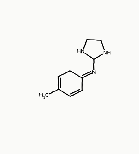 CC1=CC/C(=N\C2NCCN2)C=C1